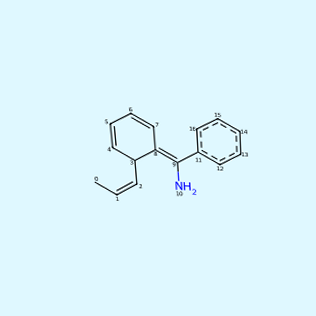 C/C=C\C1C=CC=C/C1=C(/N)c1ccccc1